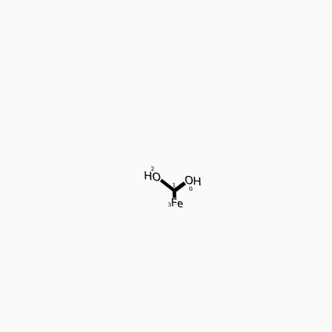 O[CH](O)[Fe]